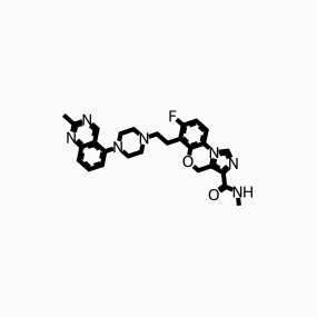 CNC(=O)c1ncn2c1COc1c-2ccc(F)c1CCN1CCN(c2cccc3nc(C)ncc23)CC1